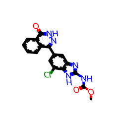 COC(=O)Nc1nc2cc(-c3n[nH]c(=O)c4ccccc34)cc(Cl)c2[nH]1